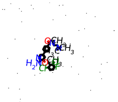 C[C@@H](Oc1cc(-c2ccc(C(=O)N(C)CCN(C)C)cc2)cnc1N)c1c(Cl)ccc(F)c1Cl